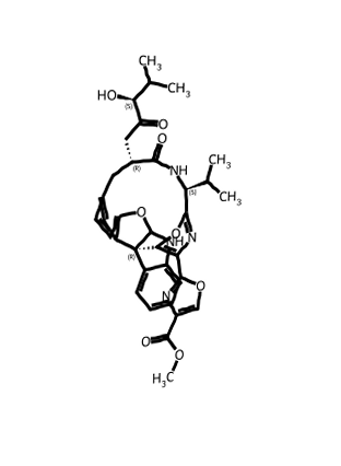 COC(=O)c1coc(-c2nc3oc2[C@@]24c5ccccc5NC2Oc2ccc(cc24)C[C@H](CC(=O)[C@@H](O)C(C)C)C(=O)N[C@H]3C(C)C)n1